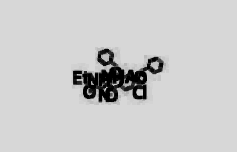 CCNC(=O)c1noc(-c2cc(Cl)c(OCc3ccccc3)cc2OCc2ccccc2)c1NC(C)=O